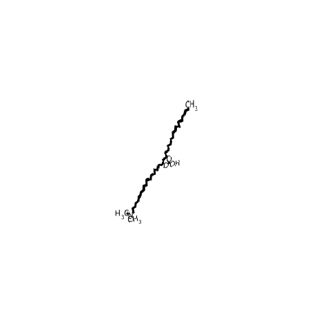 CCC=CCC=CCC=CCCCCCCCC(CCCCCCCC=CCC=CCC=CCCCCCN(C)C)OC(=O)O